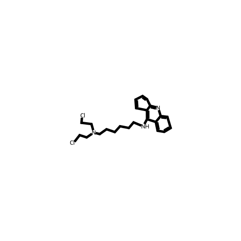 ClCCN(CCCl)CCCCCCNc1c2ccccc2nc2ccccc12